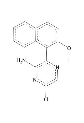 COc1ccc2ccccc2c1-c1ncc(Cl)nc1N